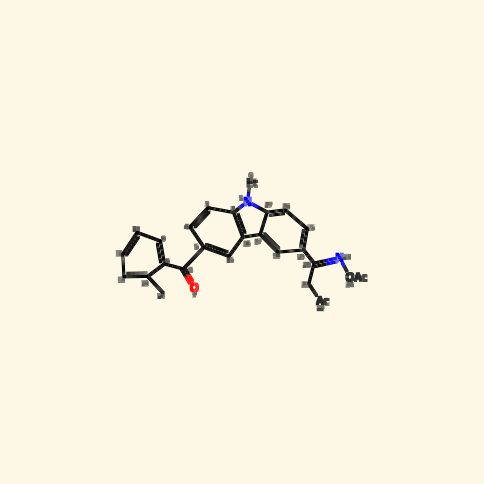 CCn1c2ccc(C(=O)c3ccccc3C)cc2c2cc(C(CC(C)=O)=NOC(C)=O)ccc21